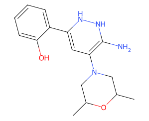 CC1CN(C2=C(N)NNC(c3ccccc3O)=C2)CC(C)O1